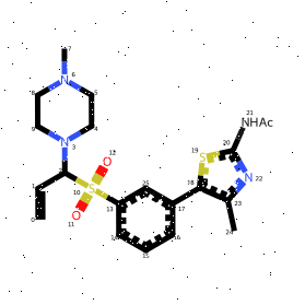 C=CC(N1CCN(C)CC1)S(=O)(=O)c1cccc(-c2sc(NC(C)=O)nc2C)c1